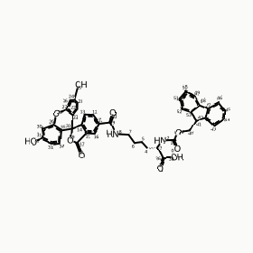 O=C(N[C@@H](CCCCNC(=O)c1ccc2c(c1)C(=O)OC21c2ccc(O)cc2Oc2cc(O)ccc21)C(=O)O)OCC1c2ccccc2-c2ccccc21